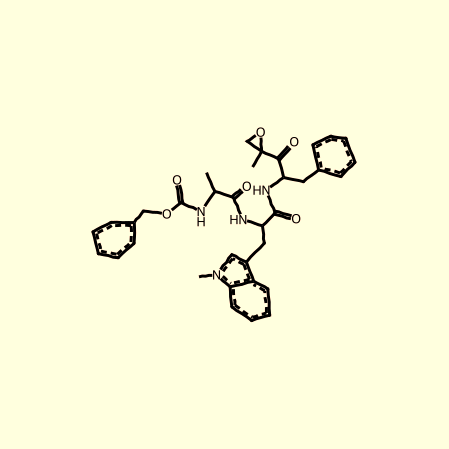 CC(NC(=O)OCc1ccccc1)C(=O)NC(Cc1cn(C)c2ccccc12)C(=O)NC(Cc1ccccc1)C(=O)C1(C)CO1